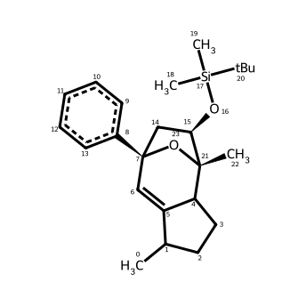 CC1CCC2C1=C[C@]1(c3ccccc3)C[C@@H](O[Si](C)(C)C(C)(C)C)[C@@]2(C)O1